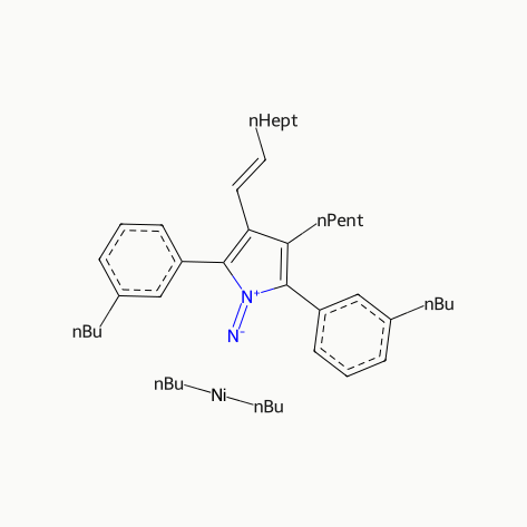 CCCCCCCC=CC1=C(c2cccc(CCCC)c2)[N+](=[N-])C(c2cccc(CCCC)c2)=C1CCCCC.CCC[CH2][Ni][CH2]CCC